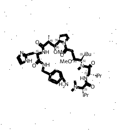 CC[C@H](C)[C@@H]([C@@H](CC(=O)N1CCC[C@H]1[C@H](OC)[C@@H](C)C(=O)N[C@@H](Cc1ncc[nH]1)C(=O)NCc1ccc(N)cc1)OC)N(C)C(=O)[C@@H](NC(=O)[C@H](C(C)C)N(C)C)C(C)C